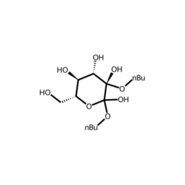 CCCCOC1(O)O[C@H](CO)[C@@H](O)[C@H](O)[C@]1(O)OCCCC